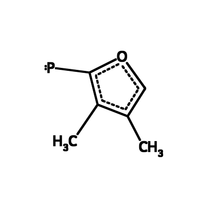 Cc1coc([P])c1C